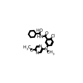 COc1cnc(N(C)c2ccc(Cl)c(C(=O)NC(O)C3CCCCC3)c2)cn1